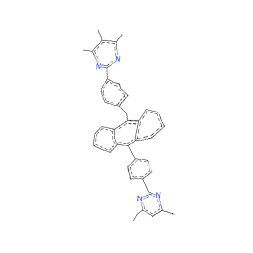 Cc1cc(C)nc(-c2ccc(-c3c4ccccc4c(-c4ccc(-c5nc(C)c(C)c(C)n5)cc4)c4ccccc34)cc2)n1